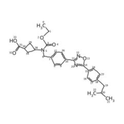 CCOC(=O)N(Cc1ccc(-c2noc(-c3ccc(CC(C)C)cc3)n2)cc1)C1CC(C(=O)O)C1